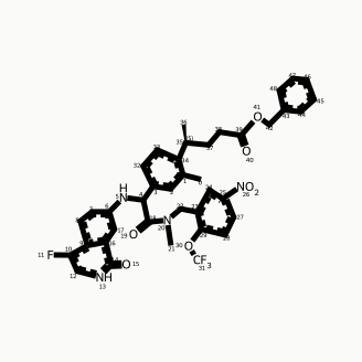 Cc1cc(C(Nc2ccc3c(F)c[nH]c(=O)c3c2)C(=O)N(C)Cc2cc([N+](=O)[O-])ccc2OC(F)(F)F)ccc1[C@@H](C)CCC(=O)OCc1ccccc1